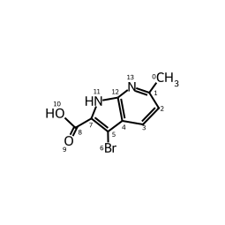 Cc1ccc2c(Br)c(C(=O)O)[nH]c2n1